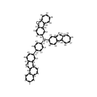 c1ccc2c(c1)ccc1c3cc(-c4ccc(N(c5ccc6c(c5)sc5ccccc56)c5ccc6oc7ccccc7c6c5)cc4)ccc3sc21